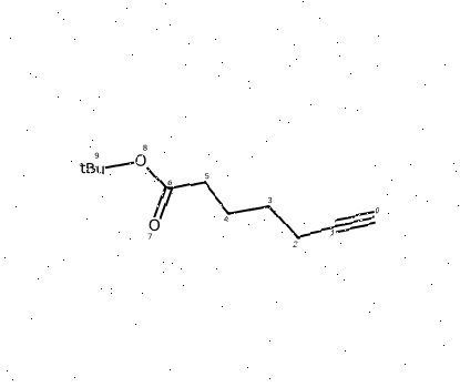 C#CCCCCC(=O)OC(C)(C)C